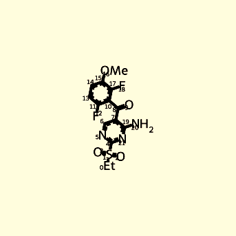 CCS(=O)(=O)c1ncc(C(=O)c2c(F)ccc(OC)c2F)c(N)n1